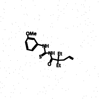 C=CCC(CC)(CC)C(=O)NC(=S)Nc1cccc(OC)c1